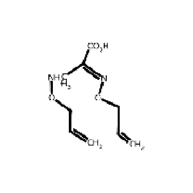 C=CCON.C=CCON=C(C)C(=O)O